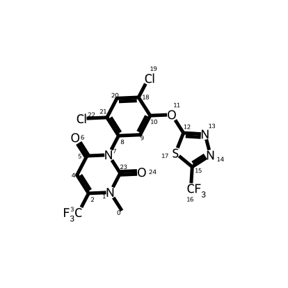 Cn1c(C(F)(F)F)cc(=O)n(-c2cc(Oc3nnc(C(F)(F)F)s3)c(Cl)cc2Cl)c1=O